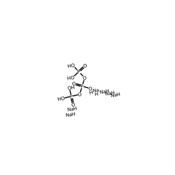 O=P(O)(O)OP(=O)(O)OP(=O)(O)O.[NaH].[NaH].[NaH].[NaH].[NaH].[NaH]